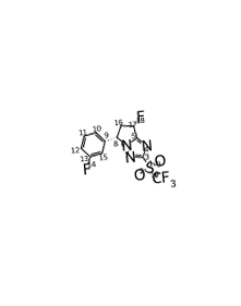 O=S(=O)(c1nc2n(n1)[C@H](c1cccc(F)c1)C[C@@H]2F)C(F)(F)F